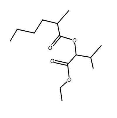 CCCCC(C)C(=O)OC(C(=O)OCC)C(C)C